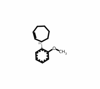 COc1ccccc1[C@@H]1C=CCCCC1